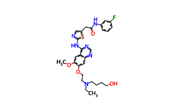 CCN(CCCCO)CCOc1cc2ncnc(Nc3ncc(CC(=O)Nc4cccc(F)c4)s3)c2cc1OC